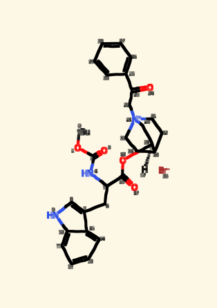 CC(C)(C)OC(=O)NC(Cc1c[nH]c2ccccc12)C(=O)O[C@H]1C[N+]2(CC(=O)c3ccccc3)CCC1CC2.[Br-]